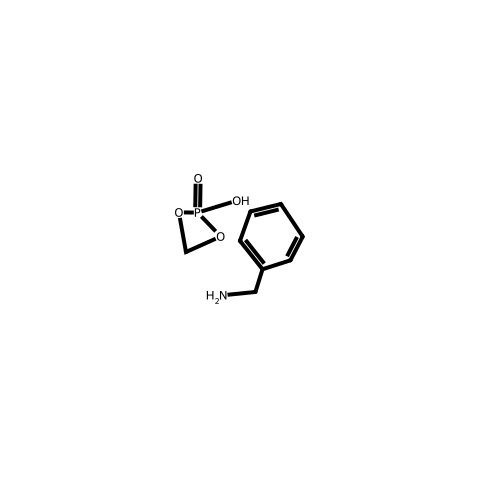 NCc1ccccc1.O=P1(O)OCO1